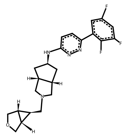 Fc1cc(F)c(F)c(-c2ccc(N[C@H]3C[C@@H]4CN(C[C@H]5[C@@H]6COC[C@@H]65)C[C@@H]4C3)nn2)c1